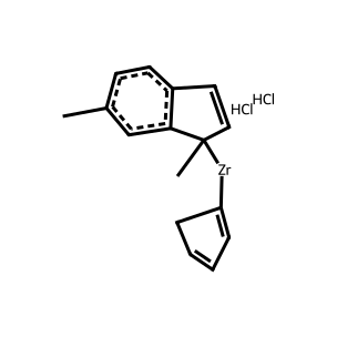 Cc1ccc2c(c1)[C](C)([Zr][C]1=CC=CC1)C=C2.Cl.Cl